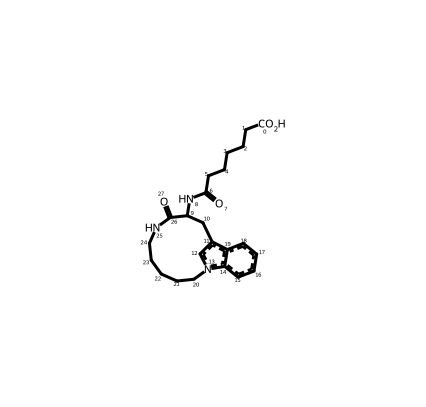 O=C(O)CCCCCC(=O)NC1Cc2cn(c3ccccc23)CCCCCNC1=O